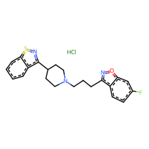 Cl.Fc1ccc2c(CCCN3CCC(c4nsc5ccccc45)CC3)noc2c1